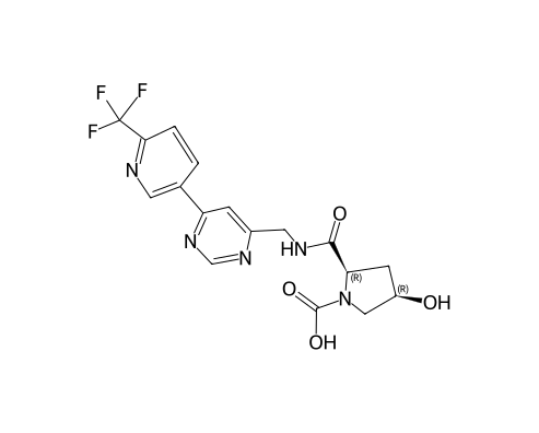 O=C(NCc1cc(-c2ccc(C(F)(F)F)nc2)ncn1)[C@H]1C[C@@H](O)CN1C(=O)O